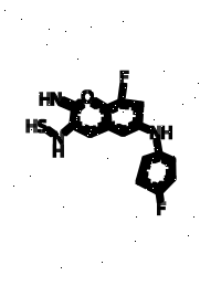 N=c1oc2c(F)cc(Nc3ccc(F)cc3)cc2cc1NS